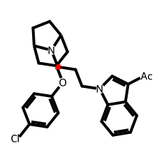 CC(=O)c1cn(CCCN2C3CCC2CC(Oc2ccc(Cl)cc2)C3)c2ccccc12